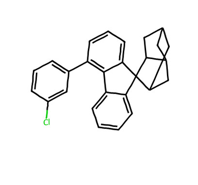 Clc1cccc(-c2cccc3c2-c2ccccc2C32C3CC4CC(C3)C2C4)c1